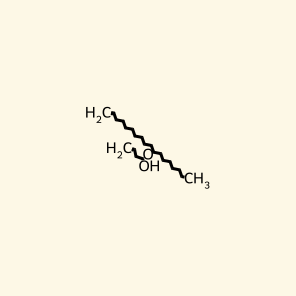 C=CCC(=O)O.C=CCCCCCCCCCCCCCCCC